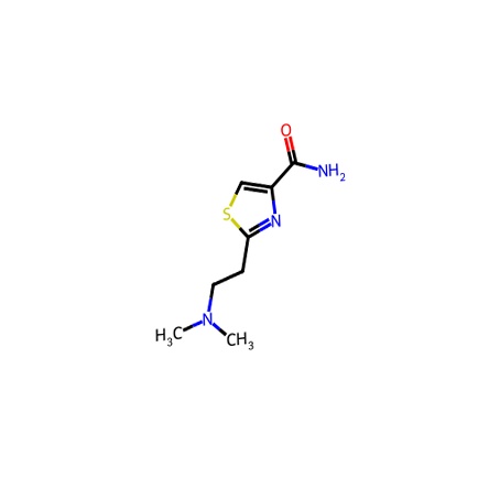 CN(C)CCc1nc(C(N)=O)cs1